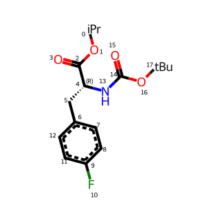 CC(C)OC(=O)[C@@H](Cc1ccc(F)cc1)NC(=O)OC(C)(C)C